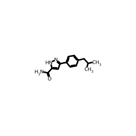 CC(C)Cc1ccc(-c2cc(C(N)=O)[nH]n2)cc1